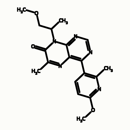 COCC(C)n1c(=O)c(C)nc2c(-c3ccc(OC)nc3C)ncnc21